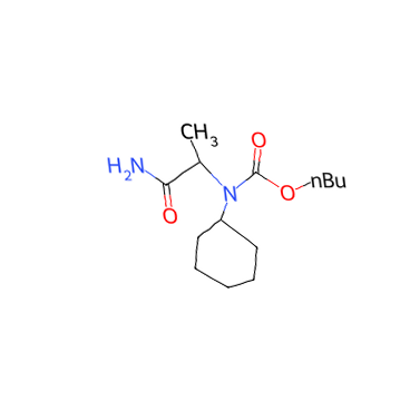 CCCCOC(=O)N(C1CCCCC1)C(C)C(N)=O